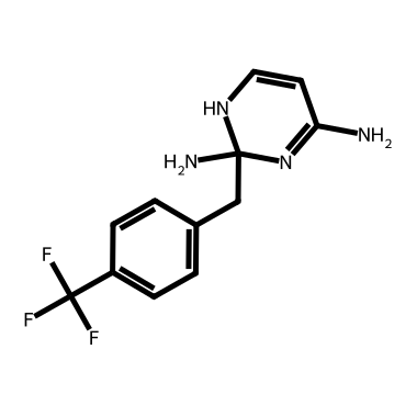 NC1=NC(N)(Cc2ccc(C(F)(F)F)cc2)NC=C1